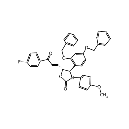 COc1ccc(N2C(=O)O[C@H](C=CC(=O)c3ccc(F)cc3)[C@H]2c2ccc(OCc3ccccc3)cc2OCc2ccccc2)cc1